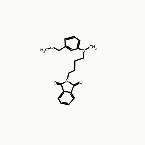 CSCc1cccc(N(C)CCCCN2C(=O)c3ccccc3C2=O)c1